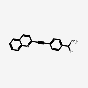 CCC(C(=O)O)c1ccc(C#Cc2ccc3ccccc3n2)cc1